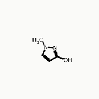 Cn1ccc(O)n1